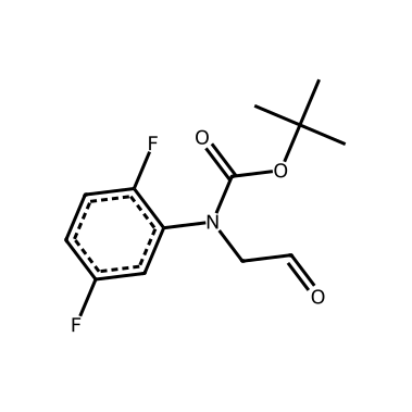 CC(C)(C)OC(=O)N(CC=O)c1cc(F)ccc1F